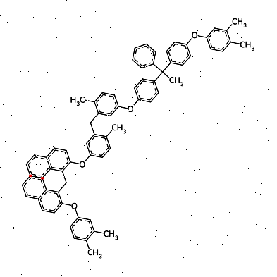 Cc1ccc(Oc2ccc(C(C)(c3ccccc3)c3ccc(Oc4ccc(C)c(Cc5cc(Oc6ccc7ccccc7c6Cc6c(Oc7ccc(C)c(C)c7)ccc7ccccc67)ccc5C)c4)cc3)cc2)cc1C